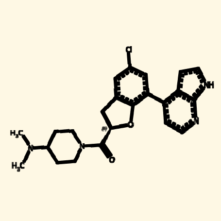 CN(C)C1CCN(C(=O)[C@H]2Cc3cc(Cl)cc(-c4ccnc5[nH]ccc45)c3O2)CC1